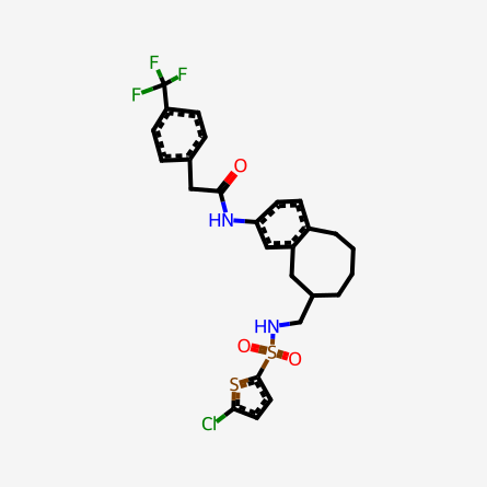 O=C(Cc1ccc(C(F)(F)F)cc1)Nc1ccc2c(c1)CC(CNS(=O)(=O)c1ccc(Cl)s1)CCCC2